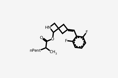 CCCCCC(C)C(=O)OC1NCC12CC(=Cc1c(F)cccc1F)C2